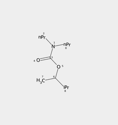 CCCN(CCC)C(=O)OC(C)C(C)C